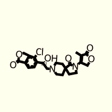 CC1=C(N2CCC3(CCN(C[C@@H](O)c4ccc5c(c4Cl)COC5=O)CC3)C2=O)COC1=O